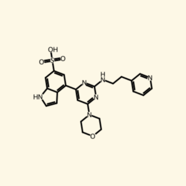 O=S(=O)(O)c1cc(-c2cc(N3CCOCC3)nc(NCCc3cccnc3)n2)c2cc[nH]c2c1